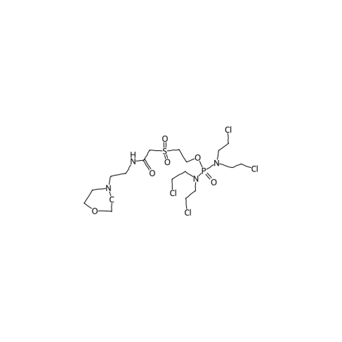 O=C(CS(=O)(=O)CCOP(=O)(N(CCCl)CCCl)N(CCCl)CCCl)NCCN1CCOCC1